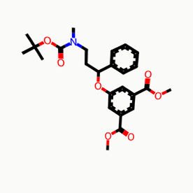 COC(=O)c1cc(OC(CCN(C)C(=O)OC(C)(C)C)c2ccccc2)cc(C(=O)OC)c1